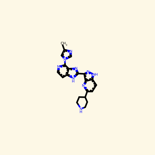 Cc1cn(-c2nccc3[nH]c(-c4n[nH]c5ccc(C6CCNCC6)nc45)nc23)cn1